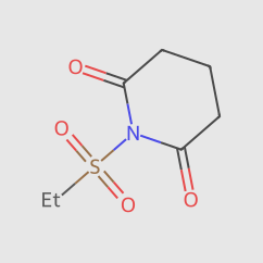 CCS(=O)(=O)N1C(=O)CCCC1=O